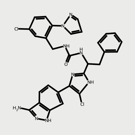 Nc1n[nH]c2cc(-c3nc(C(Cc4ccccc4)NC(=O)NCc4cc(Cl)ccc4-n4cccn4)[nH]c3Cl)ccc12